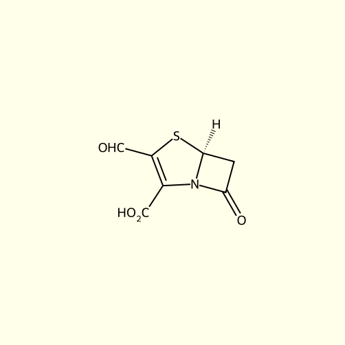 O=CC1=C(C(=O)O)N2C(=O)C[C@@H]2S1